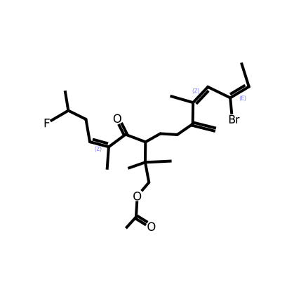 C=C(CCC(C(=O)/C(C)=C\CC(C)F)C(C)(C)COC(C)=O)/C(C)=C\C(Br)=C/C